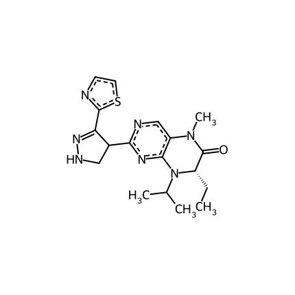 CC[C@H]1C(=O)N(C)c2cnc(C3CNN=C3c3nccs3)nc2N1C(C)C